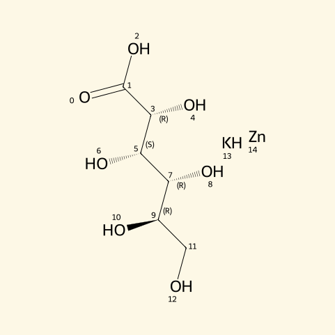 O=C(O)[C@H](O)[C@@H](O)[C@H](O)[C@H](O)CO.[KH].[Zn]